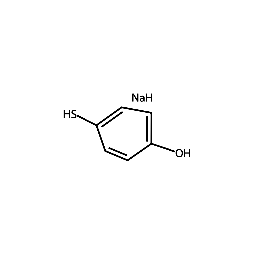 Oc1ccc(S)cc1.[NaH]